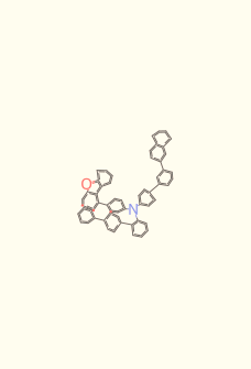 c1ccc(-c2ccc(-c3ccccc3N(c3ccc(-c4cccc(-c5ccc6ccccc6c5)c4)cc3)c3ccc(-c4cccc5oc6ccccc6c45)cc3)cc2)cc1